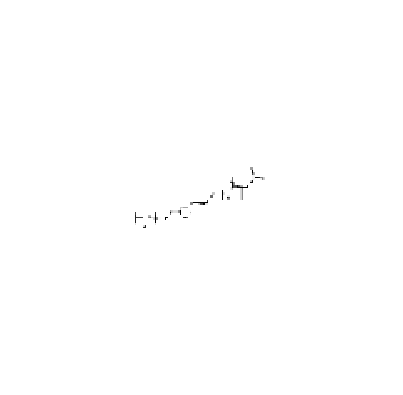 CNCCOCCCNC(=O)CC(C)C